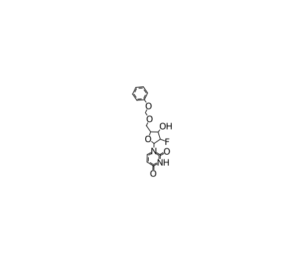 O=c1ccn(C2OC(COCOc3ccccc3)C(O)C2F)c(=O)[nH]1